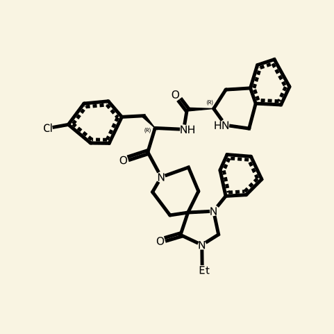 CCN1CN(c2ccccc2)C2(CCN(C(=O)[C@@H](Cc3ccc(Cl)cc3)NC(=O)[C@H]3Cc4ccccc4CN3)CC2)C1=O